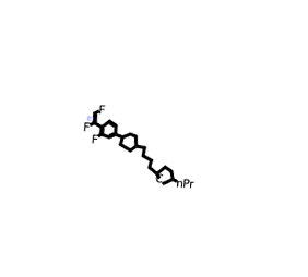 CCCC1CCC(CCCCC2CCC(c3ccc(/C(F)=C\F)c(F)c3)CC2)CC1